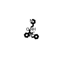 N#Cc1ccccc1Cn1nc(C(=O)NCCc2cccnc2)c2ccccc21